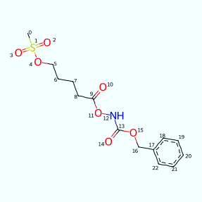 CS(=O)(=O)OCCCCC(=O)ONC(=O)OCc1ccccc1